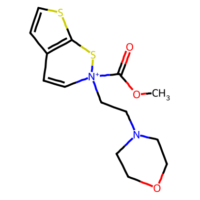 COC(=O)[N+]1(CCN2CCOCC2)C=Cc2ccsc2S1